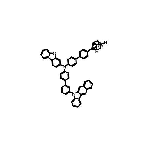 c1cc(-c2ccc(N(c3ccc(-c4ccc(C56C[C@@H]7CC8C[C@]5(C7)[C@@H]8C6)cc4)cc3)c3ccc4c(c3)oc3ccccc34)cc2)cc(-n2c3ccccc3c3cc4ccccc4cc32)c1